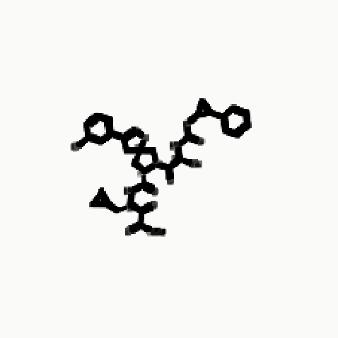 CNC(=O)C(=O)[C@H](CC1CC1)NC(=O)[C@@H]1C[C@]2(CC(c3cccc(Cl)c3)=NO2)CN1C(=O)[C@@H](NC(=O)OC1CC1c1ccccc1)C(C)(C)C